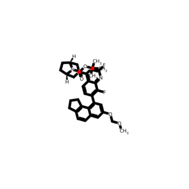 COCOc1cc(-c2ccc3c(N4C[C@H]5CC[C@@H](C4)N5C(=O)OC(C)(C)C)nc(F)nc3c2F)c2c3c(ccc2c1)CCC3